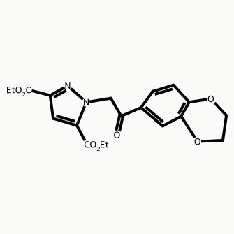 CCOC(=O)c1cc(C(=O)OCC)n(CC(=O)c2ccc3c(c2)OCCO3)n1